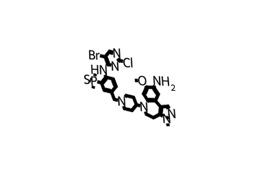 COc1cc2c(cc1N)-c1cnn(C)c1CCN2C1CCN(Cc2ccc(Nc3nc(Cl)ncc3Br)c(P(C)(C)=S)c2)CC1